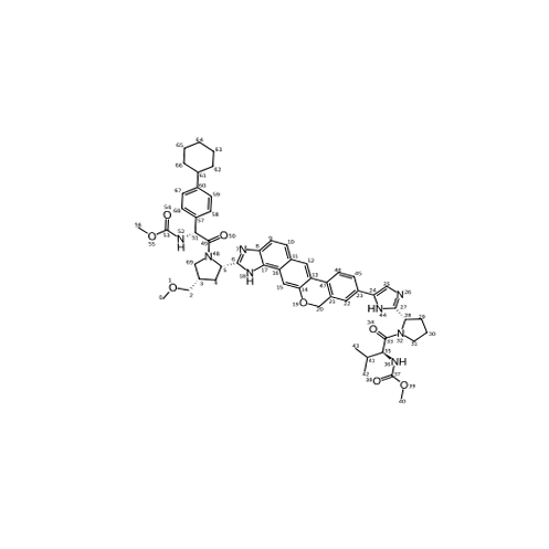 COC[C@H]1C[C@@H](c2nc3ccc4cc5c(cc4c3[nH]2)OCc2cc(-c3cnc([C@@H]4CCCN4C(=O)[C@@H](NC(=O)OC)C(C)C)[nH]3)ccc2-5)N(C(=O)[C@H](NC(=O)OC)c2ccc(C3CCCCC3)cc2)C1